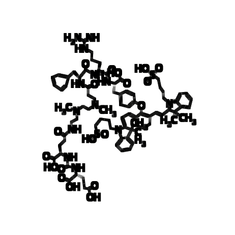 CN(CCNC(=O)CC[C@@H](NC(=O)N[C@H](CCC(=O)O)C(=O)O)C(=O)O)CCN(C)CCC(=O)N[C@@H](Cc1ccccc1)C(=O)N[C@@H](CCCNC(=N)N)C(=O)N[C@@H](Cc1ccc(OC2=C(/C=C/C3=[N+](CCCCS(=O)(=O)O)c4ccccc4C3(C)C)CCC/C2=C\C=C2\N(CCCCS(=O)O)c3ccccc3C2(C)C)cc1)C(=O)O